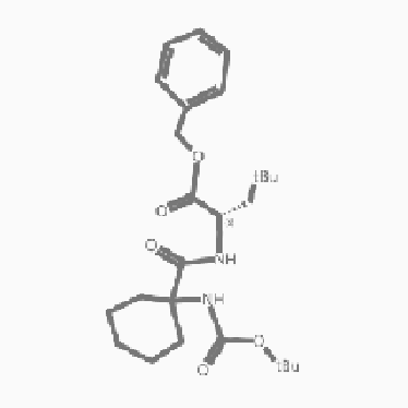 CC(C)(C)C[C@H](NC(=O)C1(NC(=O)OC(C)(C)C)CCCCC1)C(=O)OCc1ccccc1